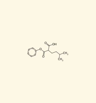 CC(C)CCC(C(=O)O)C(=O)Oc1ccccc1